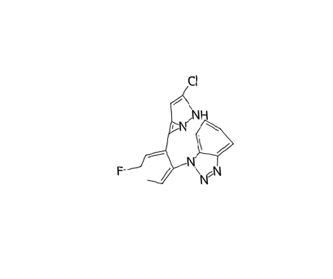 C/C=C(\C(=C/CF)C1=C2C=C(Cl)NN21)n1nnc2ccccc21